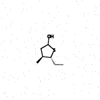 CC[C@H]1SC(O)C[C@@H]1C